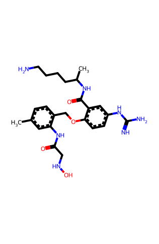 Cc1ccc(COc2ccc(NC(=N)N)cc2C(=O)NC(C)CCCCN)c(NC(=O)CNO)c1